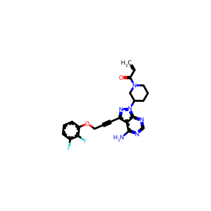 C=CC(=O)N1CCCC(n2nc(C#CCOc3cccc(F)c3F)c3c(N)ncnc32)C1